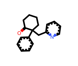 O=C1CCCCC1(Cc1ccccn1)c1ccccc1